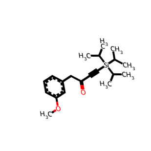 COc1cccc(CC(=O)C#C[Si](C(C)C)(C(C)C)C(C)C)c1